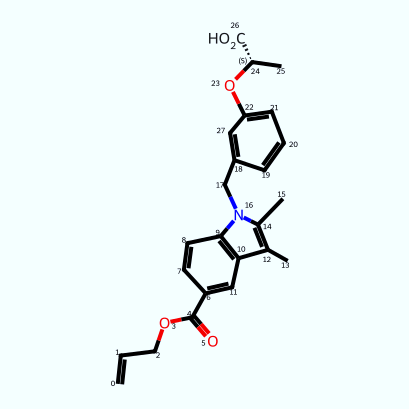 C=CCOC(=O)c1ccc2c(c1)c(C)c(C)n2Cc1cccc(O[C@@H](C)C(=O)O)c1